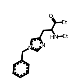 CCNC(Cc1cn(Cc2ccccc2)cn1)C(=O)CC